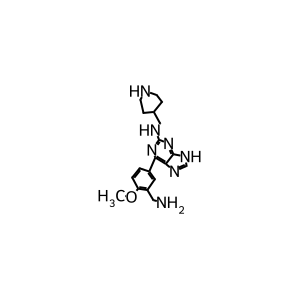 COc1ccc(-c2nc(NCC3CCNCC3)nc3[nH]cnc23)cc1CN